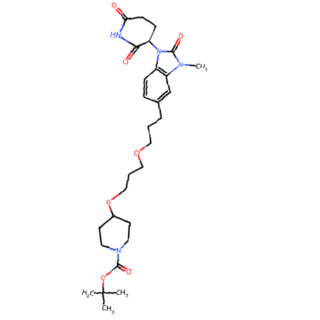 Cn1c(=O)n(C2CCC(=O)NC2=O)c2ccc(CCCOCCCOC3CCN(C(=O)OC(C)(C)C)CC3)cc21